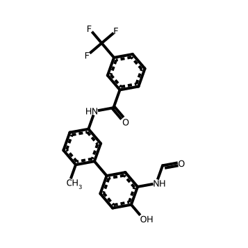 Cc1ccc(NC(=O)c2cccc(C(F)(F)F)c2)cc1-c1ccc(O)c(NC=O)c1